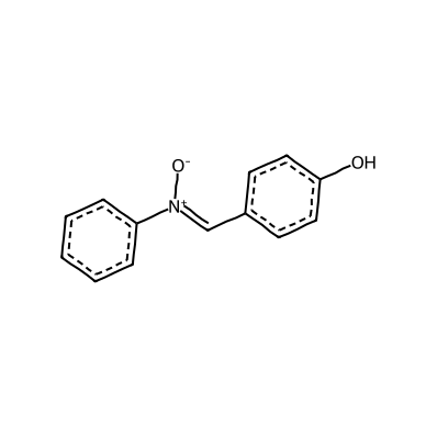 [O-][N+](=Cc1ccc(O)cc1)c1ccccc1